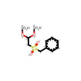 O=S(=O)(Cc1ccccc1)CC(OS(=O)(=O)O)OS(=O)(=O)O